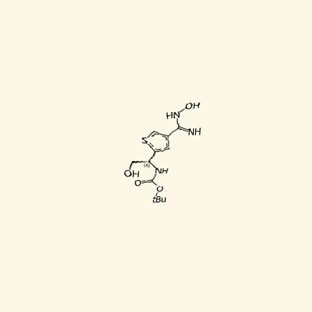 CC(C)(C)OC(=O)N[C@@H](CO)c1cc(C(=N)NO)cs1